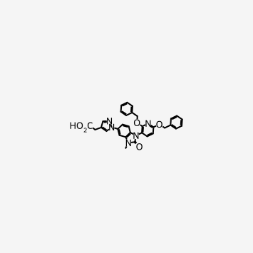 Cn1c(=O)n(-c2ccc(OCc3ccccc3)nc2OCc2ccccc2)c2ccc(-n3cc(CC(=O)O)cn3)cc21